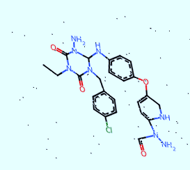 CCN1C(=O)N(N)C(Nc2ccc(OC3=CC=C(N(N)C=O)NC3)cc2)N(Cc2ccc(Cl)cc2)C1=O